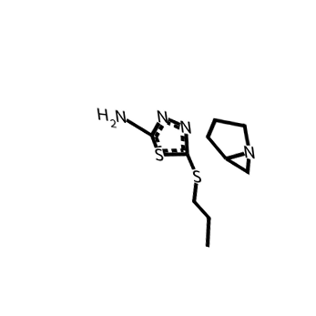 C1CC2CN2C1.CCCSc1nnc(N)s1